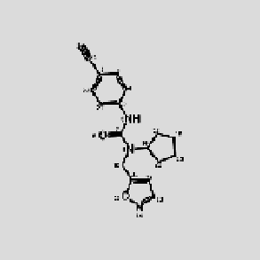 C#Cc1ccc(NC(=O)N(Cc2ccno2)C2CCCC2)cc1